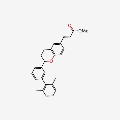 COC(=O)C=Cc1ccc2c(c1)CCC(c1cccc(-c3c(C)cccc3C)c1)O2